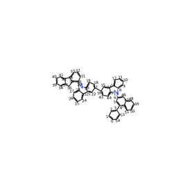 c1ccc(-c2cc(-n3c4ccccc4c4cc(-c5ccc6c(c5)c5ccccc5n6-c5cccc6c5Cc5ccccc5-6)ccc43)cc3ccccc23)cc1